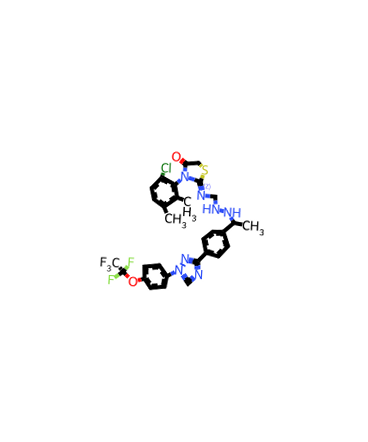 Cc1ccc(Cl)c(N2C(=O)CS/C2=N\CNNC(C)c2ccc(-c3ncn(-c4ccc(OC(F)(F)C(F)(F)F)cc4)n3)cc2)c1C